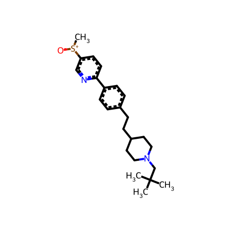 C[S+]([O-])c1ccc(-c2ccc(CCC3CCN(CC(C)(C)C)CC3)cc2)nc1